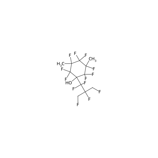 CC1(F)C(F)(F)C(C)(F)C(F)(F)C(O)(C(F)(F)C(F)(CF)CF)C1(F)F